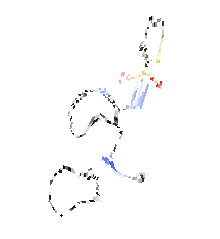 C1CCCCCC1.CC(C)NCc1cccnc1NS(=O)(=O)c1cccs1